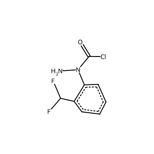 NN(C(=O)Cl)c1ccccc1C(F)F